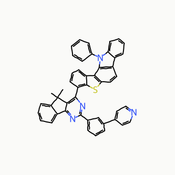 CC1(C)c2ccccc2-c2nc(-c3cccc(-c4ccncc4)c3)nc(-c3cccc4c3sc3ccc5c6ccccc6n(-c6ccccc6)c5c34)c21